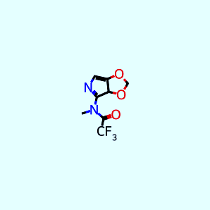 CN(C(=O)C(F)(F)F)C1=NC=C2OCOC21